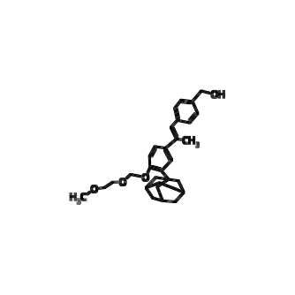 COCCOCOc1ccc(C(C)=Cc2ccc(CO)cc2)cc1C12CC3CC(CC(C3)C1)C2